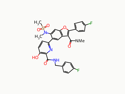 CNC(=O)c1c(-c2ccc(F)cc2)oc2cc(N(C)S(C)(=O)=O)c(-c3ccc(O)c(C(=O)NCc4ccc(F)cc4)n3)cc12